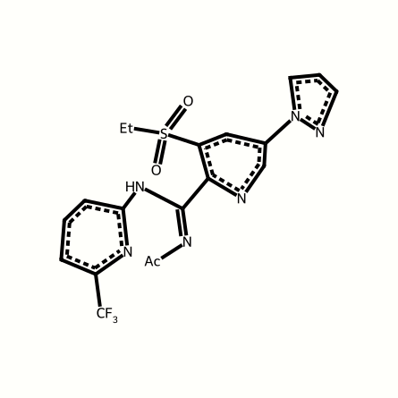 CCS(=O)(=O)c1cc(-n2cccn2)cnc1C(=NC(C)=O)Nc1cccc(C(F)(F)F)n1